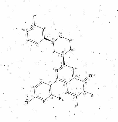 Cc1cc([C@@H]2C[C@H](c3nc(-c4ccc(Cl)cc4F)c4nc(C)n(C)c(=O)c4n3)CCO2)ccn1